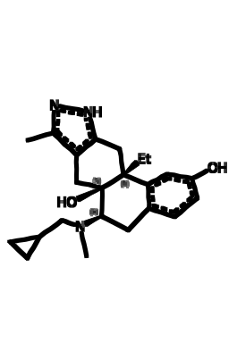 CC[C@]12Cc3[nH]nc(C)c3C[C@@]1(O)[C@H](N(C)CC1CC1)Cc1ccc(O)cc12